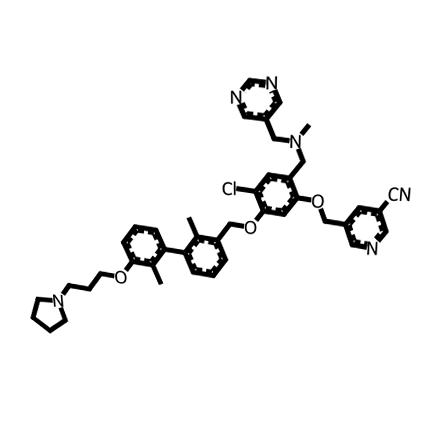 Cc1c(COc2cc(OCc3cncc(C#N)c3)c(CN(C)Cc3cncnc3)cc2Cl)cccc1-c1cccc(OCCCN2CCCC2)c1C